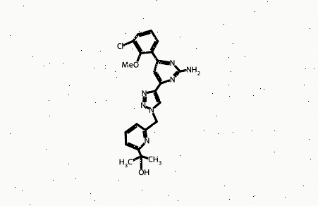 COc1c(Cl)cccc1-c1cc(-c2cn(Cc3cccc(C(C)(C)O)n3)nn2)nc(N)n1